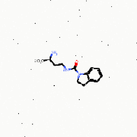 N[C@@H](CCNC(=O)N1CCc2ccccc21)C(=O)O